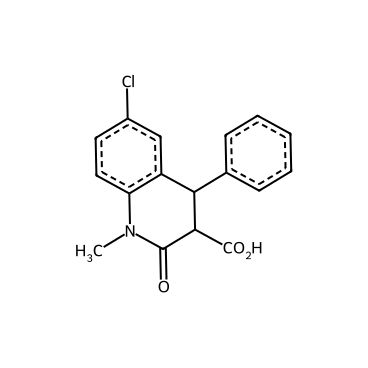 CN1C(=O)C(C(=O)O)C(c2ccccc2)c2cc(Cl)ccc21